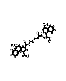 O=C(CCSCCC(=O)N1CC(CCl)c2c1cc(O)c1ccccc21)N1CC(CCl)c2c1cc(O)c1ccccc21